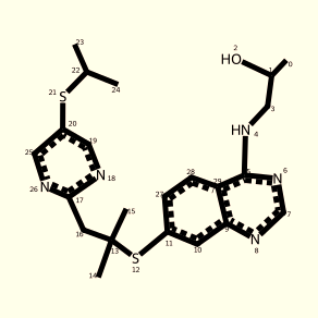 CC(O)CNc1ncnc2cc(SC(C)(C)Cc3ncc(SC(C)C)cn3)ccc12